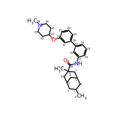 CC1CC2CC(C1)CC(C)(C(=O)Nc1cccc(-c3cccc(OC4CCN(C)CC4)c3)c1)C2